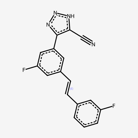 N#Cc1[nH]nnc1-c1cc(F)cc(/C=C/c2cccc(F)c2)c1